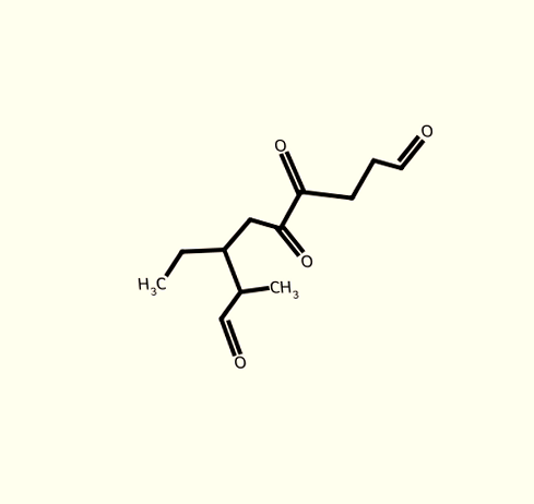 CCC(CC(=O)C(=O)CCC=O)C(C)C=O